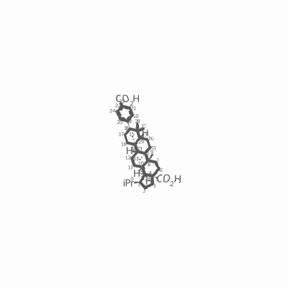 CC(C)[C@@H]1CC[C@]2(C(=O)O)CC[C@]3(C)[C@H](CC[C@@H]4[C@@]5(C)CC[C@H](c6ccc(C(=O)O)cc6)C(C)(C)[C@@H]5CC[C@]43C)[C@@H]12